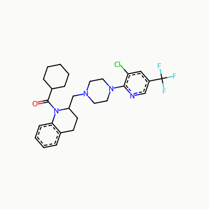 O=C(C1CCCCC1)N1c2ccccc2CCC1CN1CCN(c2ncc(C(F)(F)F)cc2Cl)CC1